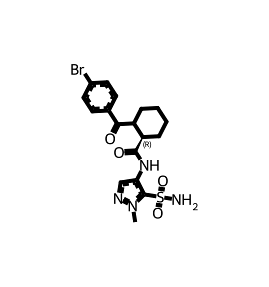 Cn1ncc(NC(=O)[C@@H]2CCCCC2C(=O)c2ccc(Br)cc2)c1S(N)(=O)=O